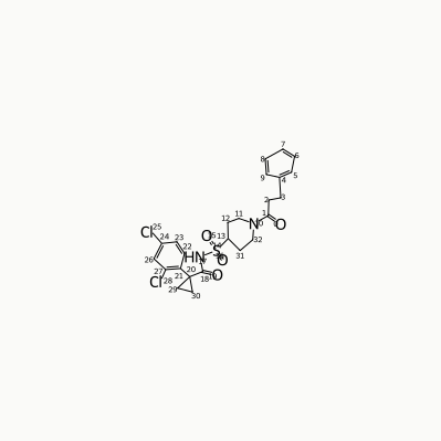 O=C(CCc1ccccc1)N1CCC(S(=O)(=O)NC(=O)C2(c3ccc(Cl)cc3Cl)CC2)CC1